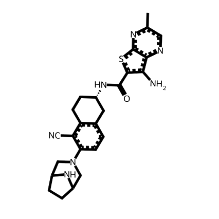 Cc1cnc2c(N)c(C(=O)N[C@H]3CCc4c(ccc(N5CC6CCC(C5)N6)c4C#N)C3)sc2n1